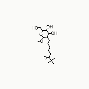 COC1OC(CO)C(O)C(O)C1CCCCCC(=O)C(C)(C)C